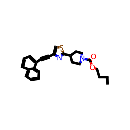 CCCCOC(=O)N1CCC(c2nc(C#Cc3cccc4ccccc34)cs2)CC1